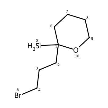 [SiH3]C1(CCCBr)CCCCO1